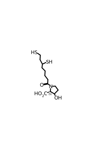 O=C(O)[C@@H]1C(O)CCN1C(=O)CCCCC(S)CCS